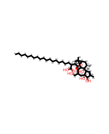 CCCCCCCCCCCCCCCCCCC(CC(=O)O[C@@]12C[C@@H](C)[C@@]3(O)[C@@H](C=C(CO)C[C@]4(O)C(O)C(C)=C[C@@H]34)[C@H]1C2(C)C)C(=O)O